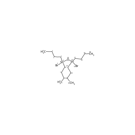 CCC[CH2][Sn]([Br])([CH2]CCC)[O][Sn]([Br])([CH2]CCC)[CH2]CCC